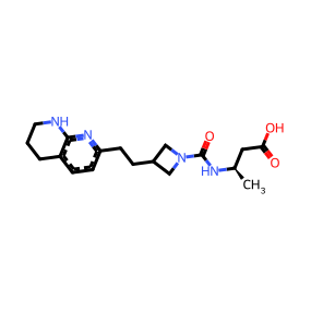 C[C@H](CC(=O)O)NC(=O)N1CC(CCc2ccc3c(n2)NCCC3)C1